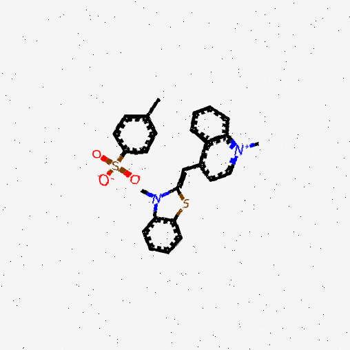 CN1/C(=C/c2cc[n+](C)c3ccccc23)Sc2ccccc21.Cc1ccc(S(=O)(=O)[O-])cc1